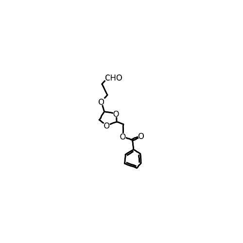 O=CCCOC1COC(COC(=O)c2ccccc2)O1